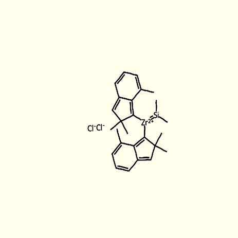 Cc1cccc2c1=[C]([Zr+2]([C]1=c3c(C)cccc3=CC1(C)C)=[Si](C)C)C(C)(C)C=2.[Cl-].[Cl-]